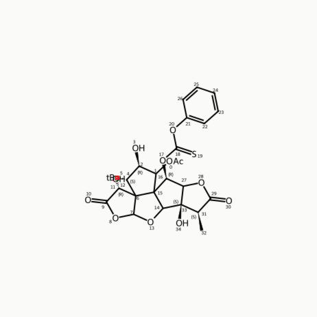 CC(=O)OC1[C@H](O)[C@@H](C(C)(C)C)C23C(OC(=O)[C@@H]2O)OC2C13[C@@H](OC(=S)Oc1ccccc1)C1OC(=O)[C@@H](C)[C@@]12O